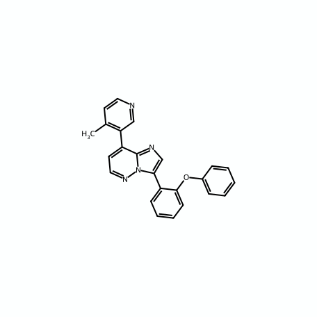 Cc1ccncc1-c1ccnn2c(-c3ccccc3Oc3ccccc3)cnc12